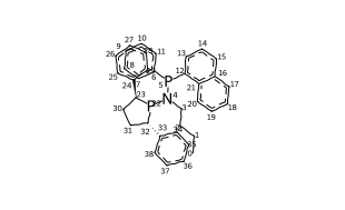 CCCCN(P(c1ccccc1)c1cccc2ccccc12)P1[C@H](c2ccccc2)CC[C@H]1c1ccccc1